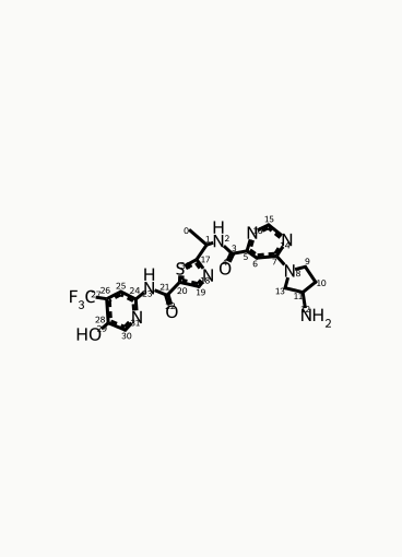 CC(NC(=O)c1cc(N2CCC(N)C2)ncn1)c1ncc(C(=O)Nc2cc(C(F)(F)F)c(O)cn2)s1